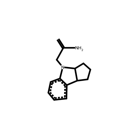 C=C(N)CN1c2ccccc2C2CCCC21